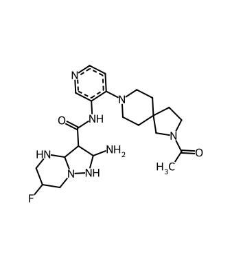 CC(=O)N1CCC2(CCN(c3ccncc3NC(=O)C3C(N)NN4CC(F)CNC34)CC2)C1